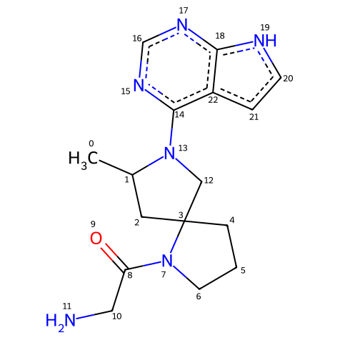 CC1CC2(CCCN2C(=O)CN)CN1c1ncnc2[nH]ccc12